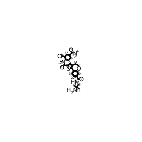 CN(C)C(=O)c1ccc(N(C)C(=O)c2cc3c(s2)-c2ccc(C(=O)NCC(C)(C)N)cc2OCC3)c(Cl)c1